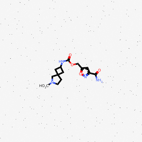 NC(=O)c1cc(COC(=O)NC2CC3(CCN(C(=O)O)C3)C2)on1